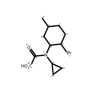 CC1CCC(C(C)C)C(N(C(=O)C(=O)O)C2CC2)C1